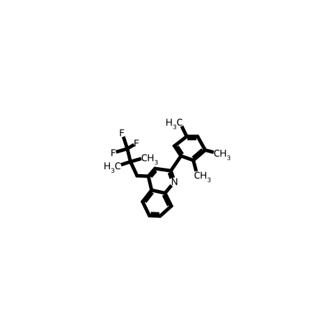 Cc1cc(C)c(C)c(-c2cc(CC(C)(C)C(F)(F)F)c3ccccc3n2)c1